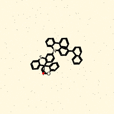 c1ccc(-c2ccccc2N(c2ccc(-c3cccc4ccccc34)cc2)c2ccc3c(c2)Sc2ccccc2C32c3ccccc3Oc3ccccc32)cc1